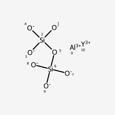 [Al+3].[O-][Si]([O-])([O-])O[Si]([O-])([O-])[O-].[Y+3]